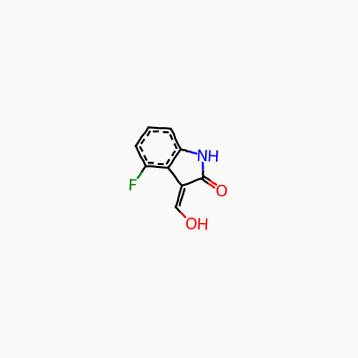 O=C1Nc2cccc(F)c2/C1=C/O